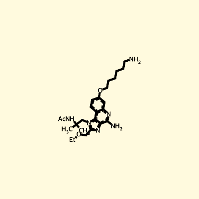 CCOCc1nc2c(N)nc3cc(OCCCCCCN)ccc3c2n1CC(C)(C)NC(C)=O